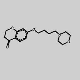 O=C1CCOc2cc(OCCCCN3CCOCC3)ccc21